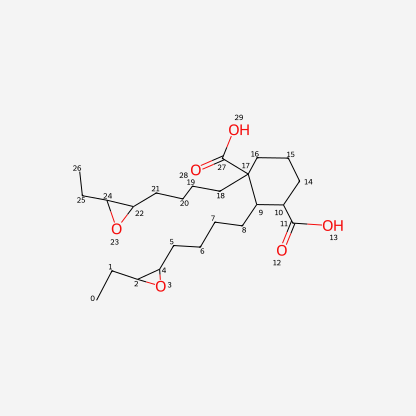 CCC1OC1CCCCC1C(C(=O)O)CCCC1(CCCCC1OC1CC)C(=O)O